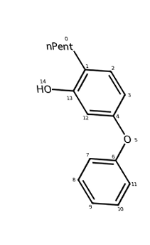 CCCCCc1ccc(Oc2ccccc2)cc1O